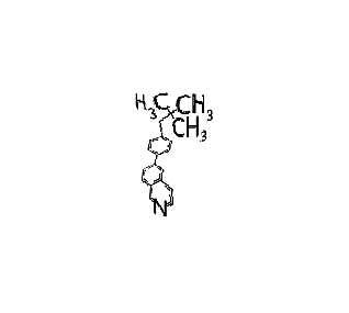 CC(C)(C)Cc1ccc(-c2ccc3cnccc3c2)cc1